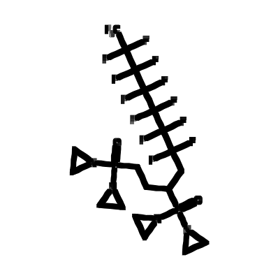 O=P(CCC(CC(F)(F)C(F)(F)C(F)(F)C(F)(F)C(F)(F)C(F)(F)C(F)(F)F)P(=O)(N1CC1)N1CC1)(N1CC1)N1CC1